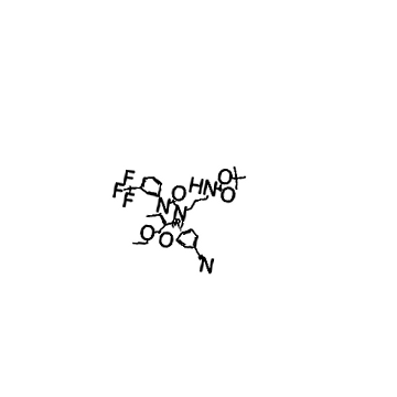 CCOC(=O)C1=C(C)N(c2cccc(C(F)(F)F)c2)C(=O)N(CCCNC(=O)OC(C)(C)C)[C@@H]1c1ccc(C#N)cc1